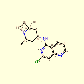 C[C@@H]1C[C@@H](Nc2nc(Cl)cc3ncccc23)C[C@@H]2CBN21